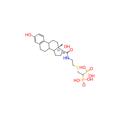 C[C@]12CCC3c4ccc(O)cc4CCC3C1CC[C@]2(O)C(=O)NCCSCC(P(=O)(O)O)P(=O)(O)O